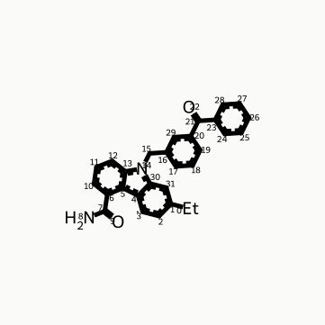 CCc1c[c]c2c3c(C(N)=O)cccc3n(Cc3cccc(C(=O)c4ccccc4)c3)c2c1